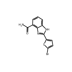 NC(=O)c1cccc2[nH]c(-c3ccc(Br)s3)nc12